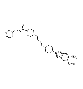 COc1cc2nn(C3CCC(COCCC4CCN(C(=O)OCc5ccccc5)CC4)CC3)cc2cc1[N+](=O)[O-]